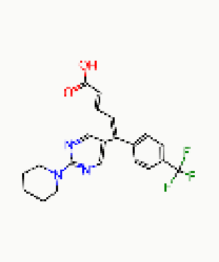 O=C(O)C=CC=C(c1ccc(C(F)(F)F)cc1)c1cnc(N2CCCCC2)nc1